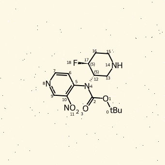 CC(C)(C)OC(=O)N(c1ccncc1[N+](=O)[O-])[C@H]1CNCC[C@@H]1F